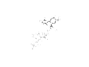 CC(C)(C)OC(=O)N1CCCC(C(=O)NCCCn2c(=O)c3cc(F)ccc3n3c(=S)[nH]nc23)C1